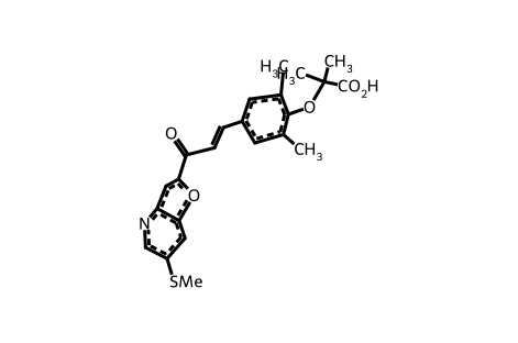 CSc1cnc2cc(C(=O)/C=C/c3cc(C)c(OC(C)(C)C(=O)O)c(C)c3)oc2c1